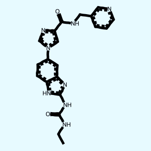 CCNC(=O)Nc1nc2cc(-n3cnc(C(=O)NCc4cccnc4)c3)ccc2[nH]1